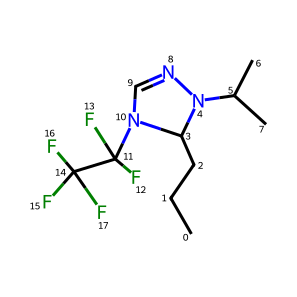 CCCC1N(C(C)C)N=CN1C(F)(F)C(F)(F)F